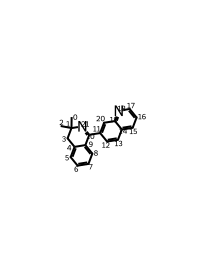 CC1(C)Cc2ccccc2C(c2ccc3cccnc3c2)=N1